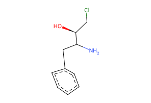 NC(Cc1ccccc1)[C@@H](O)CCl